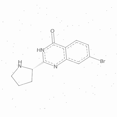 O=c1[nH]c([C@@H]2CCCN2)nc2cc(Br)ccc12